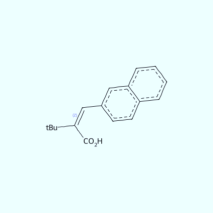 CC(C)(C)/C(=C/c1ccc2ccccc2c1)C(=O)O